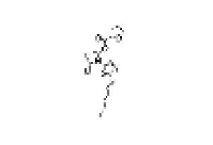 CCCCCCSc1nnc(N2C(=O)N(C)CC2OC(=O)C2CCCO2)s1